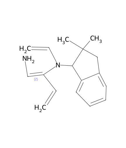 C=C/C(=C/N)N(C=C)C1c2ccccc2CC1(C)C